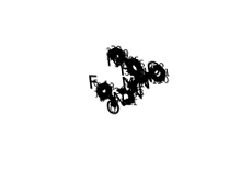 O=C(c1ccc(F)cc1)N1CCc2nc(-c3nn(C4CCCCO4)c4ccc(-c5cccnc5)cc34)[nH]c2C1